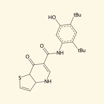 CC(C)(C)c1cc(C(C)(C)C)c(NC(=O)C2=CNC3C=CSC3C2=O)cc1O